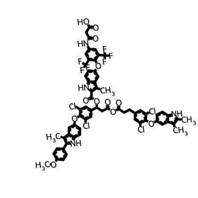 COc1ccc(-c2[nH]c3ccc(Oc4c(Cl)cc(C(CC(=O)OC(=O)CCc5cc(Cl)c(Oc6ccc7[nH]c(C)c(C)c7c6)c(Cl)c5)OC(=O)c5[nH]c6ccc(Oc7c(C(F)(F)F)cc(NC(=O)CC(=O)O)cc7C(F)(F)F)cc6c5C)cc4Cl)cc3c2C)cc1